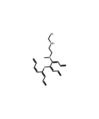 C=C/C=C\C(=C/C=C)SC(=C/C=C)/C(=C\C=C)N(C)CCNCC(C)C